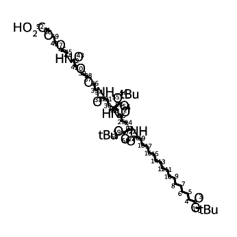 CC(C)(C)OC(=O)CCCCCCCCCCCCCCCCC(=O)N[C@@H](CCC(=O)N[C@@H](CCC(=O)NCCOCCOCC(=O)NCCOCCOCC(=O)O)C(=O)OC(C)(C)C)C(=O)OC(C)(C)C